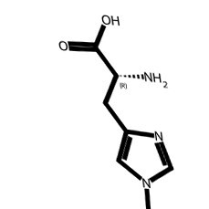 Cn1cnc(C[C@@H](N)C(=O)O)c1